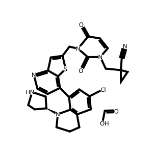 N#CC1(Cn2ccc(=O)n(Cc3cc4nccc(-c5cc(Cl)cc6c5N([C@H]5CCNC5)CCC6)c4s3)c2=O)CC1.O=CO